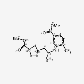 COC(=O)c1ccc(C(F)(F)F)c(NC(C)C[C@H]2CCN(C(=O)OC(C)(C)C)C2)c1